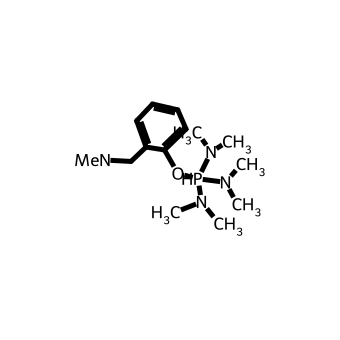 CNCc1ccccc1O[PH](N(C)C)(N(C)C)N(C)C